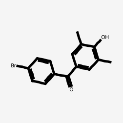 Cc1cc(C(=O)c2ccc(Br)cc2)cc(C)c1O